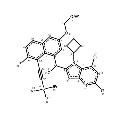 COCOc1cc(C(O)c2nc3nc(Cl)nc(Cl)c3n2C2CCC2)c2c(C#C[Si](C(C)C)(C(C)C)C(C)C)c(F)ccc2c1